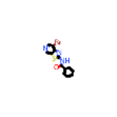 O=C(Nc1nc2c(Br)cncc2s1)c1ccccc1